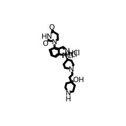 Cl.Cl.Cl.O=C1CCN(c2cccc3c2cnn3C2CCN(CCC3(O)CCNCC3)CC2)C(=O)N1